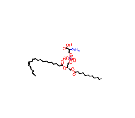 CCCCC/C=C\C/C=C\CCCCCCCCCC(=O)O[C@H](COC(=O)CCCCCCCCCCC)COP(=O)(O)OC[C@H](N)C(=O)O